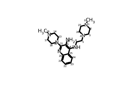 CN1CCN(CCNc2c(N)c(N3CCN(C)CC3)nc3ccccc23)CC1